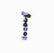 O=c1[nH]ncn1-c1ccc(N2CCN(c3ccc(-c4ccc(C(F)(F)C(O)(Cn5cnnn5)c5ccc(F)cc5F)nc4)cc3)CC2)cc1